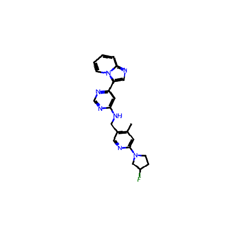 Cc1cc(N2CCC(F)C2)ncc1CNc1cc(-c2cnc3ccccn23)ncn1